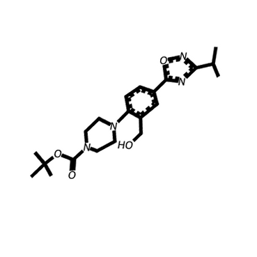 CC(C)c1noc(-c2ccc(N3CCN(C(=O)OC(C)(C)C)CC3)c(CO)c2)n1